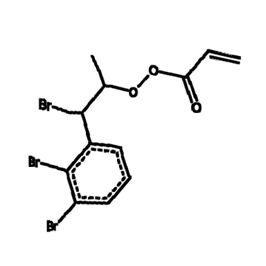 C=CC(=O)OOC(C)C(Br)c1cccc(Br)c1Br